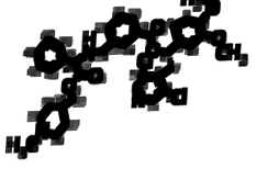 COc1ccc([C@H](Cc2c(Cl)cncc2Cl)OC(=O)c2cccc(CNC(C(=O)OCC3CCN(C)CC3)c3ccccc3)c2)cc1OC